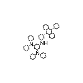 c1ccc(-c2c3ccccc3c(-c3cccc(Nc4cc(N(c5ccccc5)c5ccccc5)cc(N(c5ccccc5)c5ccccc5)c4)c3)c3ccccc23)cc1